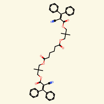 CC(C)(COC(=O)CCCCC(=O)OCC(C)(C)COC(=O)C(C#N)=C(c1ccccc1)c1ccccc1)COC(=O)C(C#N)=C(c1ccccc1)c1ccccc1